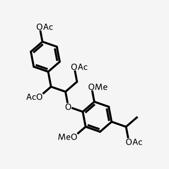 COc1cc(C(C)OC(C)=O)cc(OC)c1OC(COC(C)=O)C(OC(C)=O)c1ccc(OC(C)=O)cc1